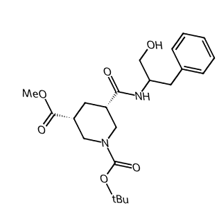 COC(=O)[C@@H]1C[C@H](C(=O)NC(CO)Cc2ccccc2)CN(C(=O)OC(C)(C)C)C1